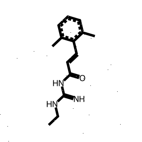 CCNC(=N)NC(=O)C=Cc1c(C)cccc1C